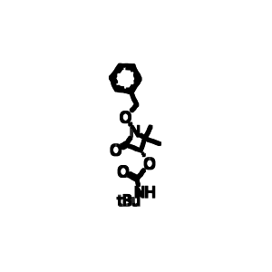 CC(C)(C)NC(=O)O[C@@H]1C(=O)N(OCc2ccccc2)C1(C)C